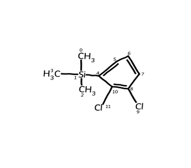 C[Si](C)(C)c1cccc(Cl)c1Cl